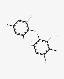 COc1cc(F)cc(F)c1Bc1c(F)cc(F)c(F)c1C